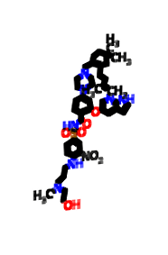 C=C(C)CCC1=C(CN2CCN(c3ccc(C(=O)NS(=O)(=O)c4ccc(NCCCN(C)CCO)c([N+](=O)[O-])c4)c(Oc4cnc5[nH]ccc5c4)c3)CC2)CCC(C)(C)C1